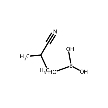 CC(C)C#N.OB(O)O